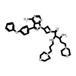 Nc1ncnc2c1c(-c1ccc(Oc3ccccc3)cc1)nn2C1CN(C(=O)C(NCCCN2CCOCC2)C(N)CCN2CCOCC2)C1